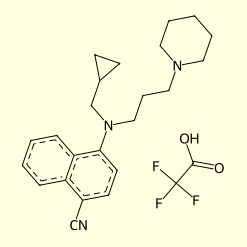 N#Cc1ccc(N(CCCN2CCCCC2)CC2CC2)c2ccccc12.O=C(O)C(F)(F)F